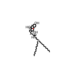 CCCCCCCCCCCCN(CCCCCCCCCCCC)CCCNC(=O)CC[C@@H](C)[C@H]1CCC2[C@H]3C(C[C@H](O)[C@@]21C)[C@@]1(C)CC[C@@H](O)C[C@@]1(C)C[C@H]3O